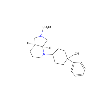 CCOC(=O)N1C[C@@H]2CCCN(C3CCC(C#N)(c4ccccc4)CC3)[C@@H]2C1